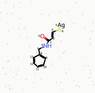 O=C(C=C[S][Ag])NCc1ccccc1